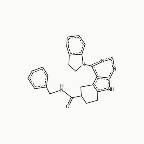 O=C(NCc1ccccc1)C1CCc2[nH]c3ncnc(N4CCc5ccccc54)c3c2C1